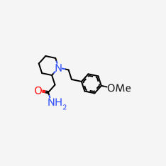 COc1ccc(CCN2CCCCC2CC(N)=O)cc1